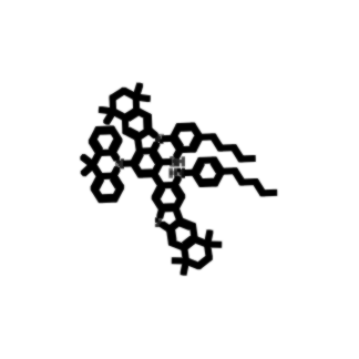 CCCCCc1ccc(Nc2cc3c(cc2-c2cc(N4c5ccccc5C(C)(C)c5ccccc54)c4c5cc6c(cc5n5c4c2Bc2cc(CCCCC)ccc2-5)C(C)(C)CCC6(C)C)sc2cc4c(cc23)C(C)(C)CCC4(C)C)cc1